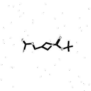 CC(C)(C)OC(=O)N1CC(COC(F)F)C1